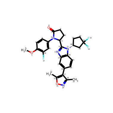 COc1ccc(N2C(=O)CCC2c2nc3cc(-c4c(C)noc4C)ccc3n2[C@@H]2CCC(F)(F)C2)cc1F